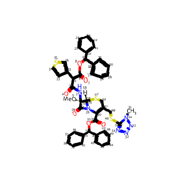 CO[C@@]1(NC(=O)C(C(=O)OC(c2ccccc2)c2ccccc2)c2ccsc2)C(=O)N2C(C(=O)OC(c3ccccc3)c3ccccc3)=C(CSc3nnnn3C)CS[C@H]21